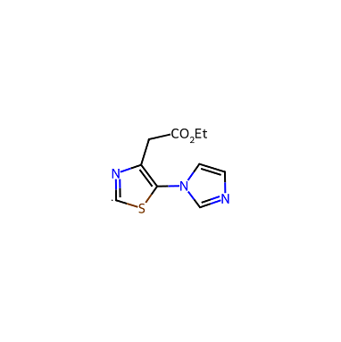 CCOC(=O)Cc1n[c]sc1-n1ccnc1